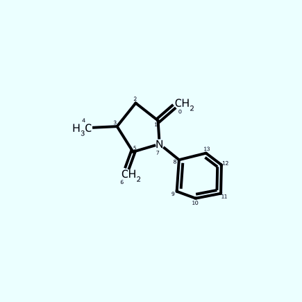 C=C1CC(C)C(=C)N1C1=CC=C=C=C1